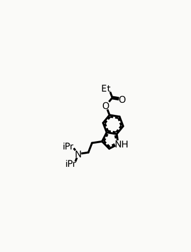 CCC(=O)Oc1ccc2[nH]cc(CCN(C(C)C)C(C)C)c2c1